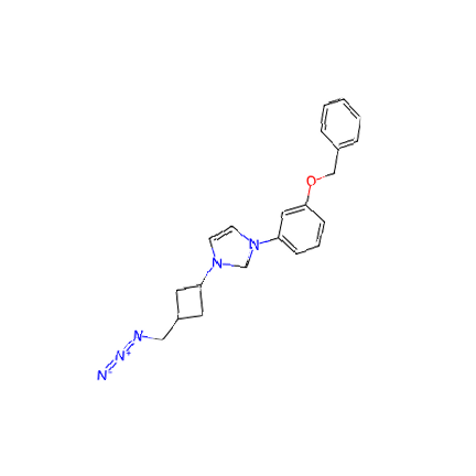 [N-]=[N+]=NCC1CC(N2C=CN(c3cccc(OCc4ccccc4)c3)C2)C1